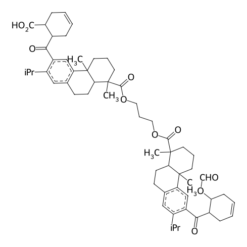 CC(C)c1cc2c(cc1C(=O)C1CC=CCC1OC=O)C1(C)CCCC(C)(C(=O)OCCCOC(=O)C3(C)CCCC4(C)c5cc(C(=O)C6CC=CCC6C(=O)O)c(C(C)C)cc5CCC34)C1CC2